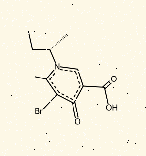 CC[C@H](C)n1cc(C(=O)O)c(=O)c(Br)c1C